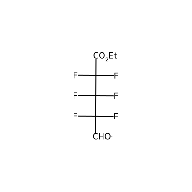 CCOC(=O)C(F)(F)C(F)(F)C(F)(F)[C]=O